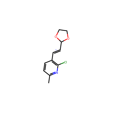 Cc1ccc(/C=C/C2OCCO2)c(Cl)n1